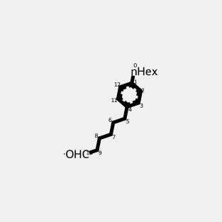 CCCCCCc1ccc(CCCCC[C]=O)cc1